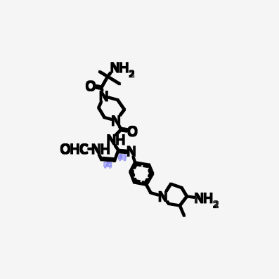 CC1CN(Cc2ccc(/N=C(\C=C/NC=O)NC(=O)N3CCN(C(=O)C(C)(C)N)CC3)cc2)CCC1N